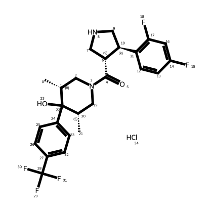 C[C@@H]1CN(C(=O)[C@@H]2CNC[C@H]2c2ccc(F)cc2F)C[C@H](C)C1(O)c1ccc(C(F)(F)F)cc1.Cl